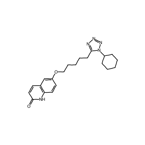 O=c1ccc2cc(OCCCCCc3nnnn3C3CCCCC3)ccc2[nH]1